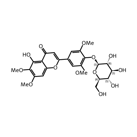 COc1cc(-c2cc(=O)c3c(O)c(OC)c(OC)cc3o2)cc(OC)c1O[C@@H]1O[C@H](CO)[C@@H](O)[C@H](O)[C@H]1O